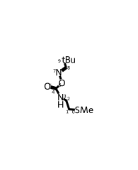 CSCCNC(=O)ON=CC(C)(C)C